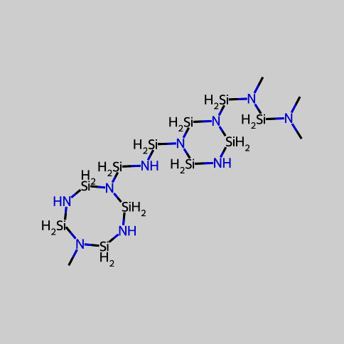 CN(C)[SiH2]N(C)[SiH2]N1[SiH2]N[SiH2]N([SiH2]N[SiH2]N2[SiH2]N[SiH2]N(C)[SiH2]N[SiH2]2)[SiH2]1